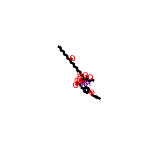 CC#CCOc1ccc(C[C@H](NC(=O)[C@@H](C=CCCCCCCC(=O)CCCCCCC)[C@@](O)(CCC)C(=O)O)C(=O)O)cc1